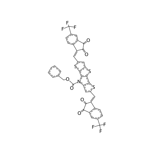 O=C1C(=O)c2cc(C(F)(F)F)ccc2/C1=C/c1cc2c(s1)c1sc3cc(/C=C4\C(=O)C(=O)c5cc(C(F)(F)F)ccc54)sc3c1n2C(=O)OCc1ccccc1